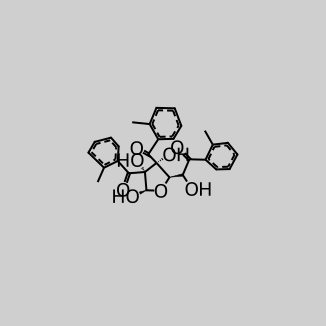 Cc1ccccc1C(=O)C(O)[C@H]1O[C@@H](O)[C@@](O)(C(=O)c2ccccc2C)[C@@]1(O)C(=O)c1ccccc1C